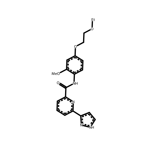 CCOCCOc1ccc(NC(=O)c2cccc(-c3cc[nH]n3)n2)c(OC)c1